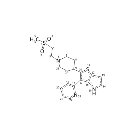 CS(=O)(=O)CCN1CCC(c2sc3cc[nH]c3c2-c2ccccn2)CC1